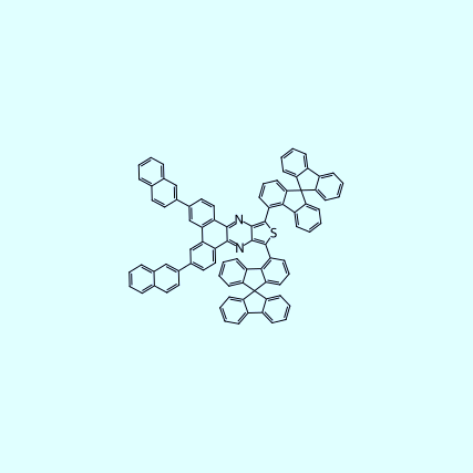 c1ccc2c(c1)-c1ccccc1C21c2ccccc2-c2c(-c3sc(-c4cccc5c4-c4ccccc4C54c5ccccc5-c5ccccc54)c4nc5c6ccc(-c7ccc8ccccc8c7)cc6c6cc(-c7ccc8ccccc8c7)ccc6c5nc34)cccc21